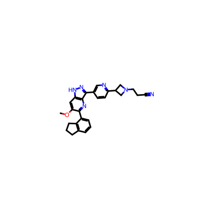 COc1cc2[nH]nc(-c3ccc(C4CN(CCC#N)C4)nc3)c2nc1-c1cccc2c1CCC2